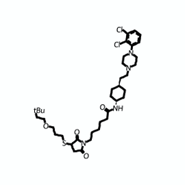 CC(C)(C)CCOCCCSC1CC(=O)N(CCCCCC(=O)N[C@H]2CC[C@H](CCN3CCN(c4cccc(Cl)c4Cl)CC3)CC2)C1=O